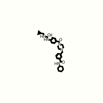 O=C(NCC1CC1)Nc1ccc(C(=O)N2CCN(Cc3cccc(C(=O)NC4CCCCC4)c3)CC2)cc1F